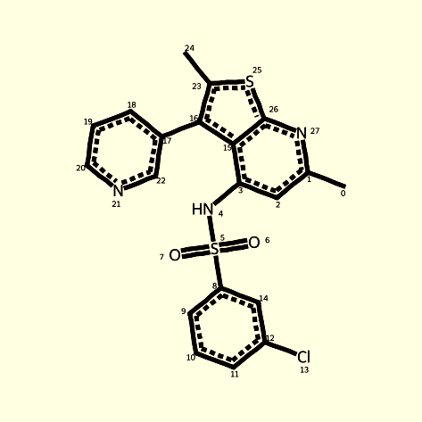 Cc1cc(NS(=O)(=O)c2cccc(Cl)c2)c2c(-c3cccnc3)c(C)sc2n1